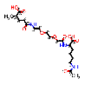 CC(=O)NCCCCC(NC(=O)COCCOCCNC(=O)CCC(C)C(=O)O)C(=O)O